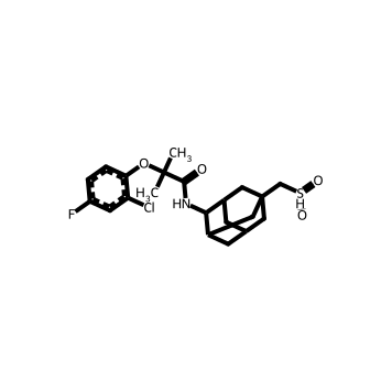 CC(C)(Oc1ccc(F)cc1Cl)C(=O)NC1C2CC3CC1CC(C[SH](=O)=O)(C3)C2